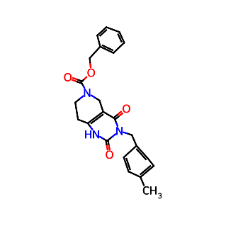 Cc1ccc(Cn2c(=O)[nH]c3c(c2=O)CN(C(=O)OCc2ccccc2)CC3)cc1